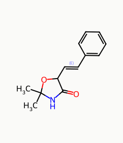 CC1(C)NC(=O)C(/C=C/c2ccccc2)O1